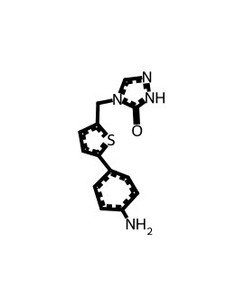 Nc1ccc(-c2ccc(Cn3cn[nH]c3=O)s2)cc1